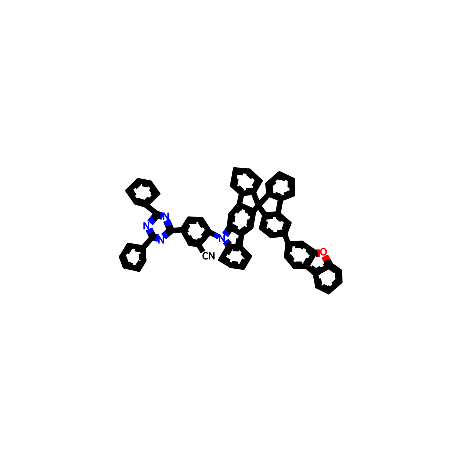 N#Cc1cc(-c2nc(-c3ccccc3)nc(-c3ccccc3)n2)ccc1-n1c2ccccc2c2cc3c(cc21)-c1ccccc1C31c2ccccc2-c2cc(-c3ccc4c(c3)oc3ccccc34)ccc21